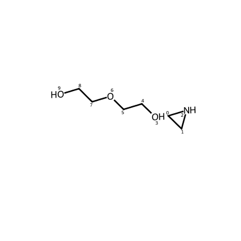 C1CN1.OCCOCCO